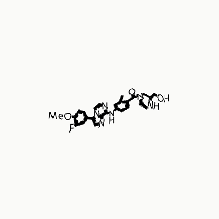 COc1ccc(-c2cnc3c(Nc4ccc(C(=O)N5CCNC(CO)C5)c(C)c4)nccn23)cc1F